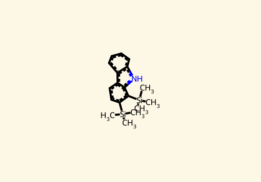 C[Si](C)(C)c1ccc2c([nH]c3ccccc32)c1[Si](C)(C)C